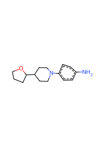 Nc1ccc(N2CCC(C3CCCO3)CC2)cc1